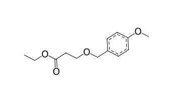 CCOC(=O)CCOCc1ccc(OC)cc1